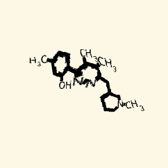 Cc1ccc(-c2nnc(CC3CCCN(C)C3)c(C)c2C)c(O)c1